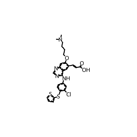 CN(C)CCCCOc1cc2ncnc(Nc3ccc(Sc4cccs4)c(Cl)c3)c2cc1C=CC(=O)O